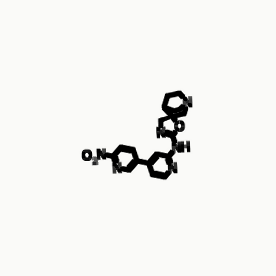 O=[N+]([O-])c1ccc(-c2ccnc(NC3=NC[C@@]4(CN5CCC4CC5)O3)c2)cn1